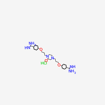 Cl.N=C(N)c1ccc(OCCCN2CCN(CCCOc3ccc(C(=N)N)cc3)C(=O)C2)cc1